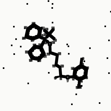 Cc1ccc(Br)c(O[C@H](C)CCCCO[Si](c2ccccc2)(c2ccccc2)C(C)(C)C)c1